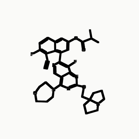 C#Cc1c(F)ccc2cc(OC(=O)C(C)C)cc(-c3ncc4c(N5CCCOCC5)nc(OCC56CCCN5CCC6)nc4c3F)c12